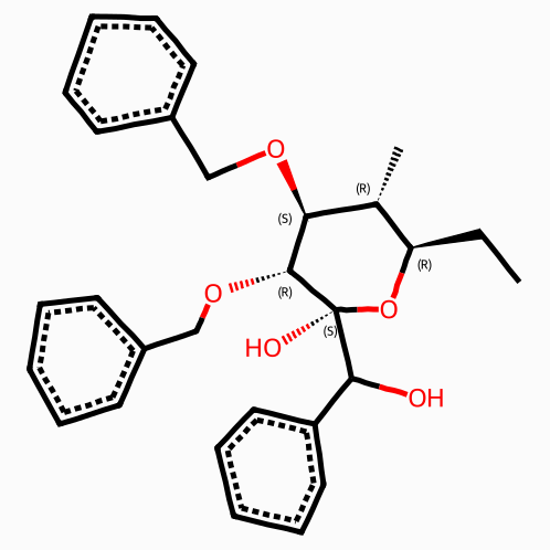 CC[C@H]1O[C@@](O)(C(O)c2ccccc2)[C@H](OCc2ccccc2)[C@@H](OCc2ccccc2)[C@@H]1C